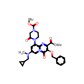 COC(=O)c1nc2c(N3CCN(C(=O)OC(C)(C)C)CC3=O)cc(N(C)CC3CC3)cn2c(=O)c1OCc1ccccc1